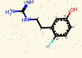 N=C(N)NCCc1cc(O)ccc1F